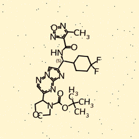 Cc1nonc1C(=O)N[C@H](c1cn2ncc(C3COCCN3C(=O)OC(C)(C)C)nc2n1)C1CCC(F)(F)CC1